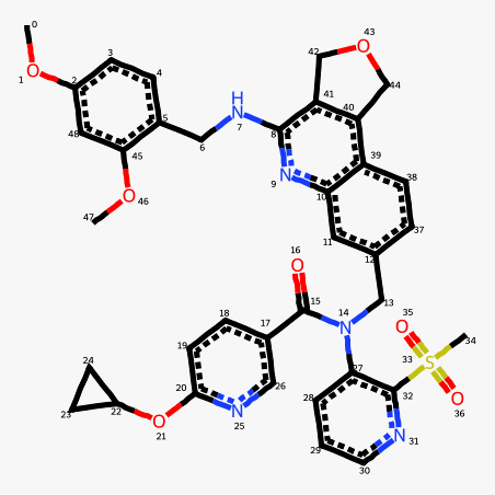 COc1ccc(CNc2nc3cc(CN(C(=O)c4ccc(OC5CC5)nc4)c4cccnc4S(C)(=O)=O)ccc3c3c2COC3)c(OC)c1